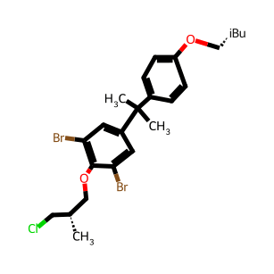 CC[C@@H](C)COc1ccc(C(C)(C)c2cc(Br)c(OC[C@H](C)CCl)c(Br)c2)cc1